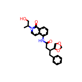 CC(CO)n1ccc2c(NC(=O)CC(Cc3ccccc3)C3=COCO3)cccc2c1=O